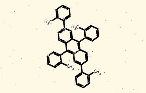 Cc1ccccc1-c1ccc2c(-c3ccccc3C)c3cc(-c4ccccc4C)ccc3c(-c3ccccc3C)c2c1